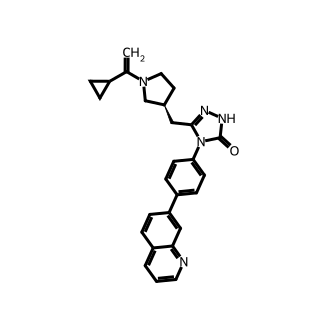 C=C(C1CC1)N1CC[C@@H](Cc2n[nH]c(=O)n2-c2ccc(-c3ccc4cccnc4c3)cc2)C1